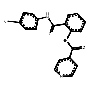 O=C(Nc1ccccc1C(=O)Nc1ccc(Cl)cc1)c1ccncc1